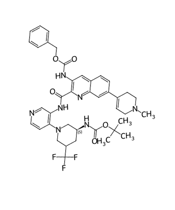 CN1CC=C(c2ccc3cc(NC(=O)OCc4ccccc4)c(C(=O)Nc4cnccc4N4CC(C(F)(F)F)C[C@H](NC(=O)OC(C)(C)C)C4)nc3c2)CC1